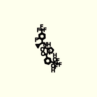 O=C(NC(c1ccc(C(F)(F)F)cc1F)C1CC1)[C@H]1CCCN1C(=O)c1cccc(C(O)(O)C(F)(F)F)c1